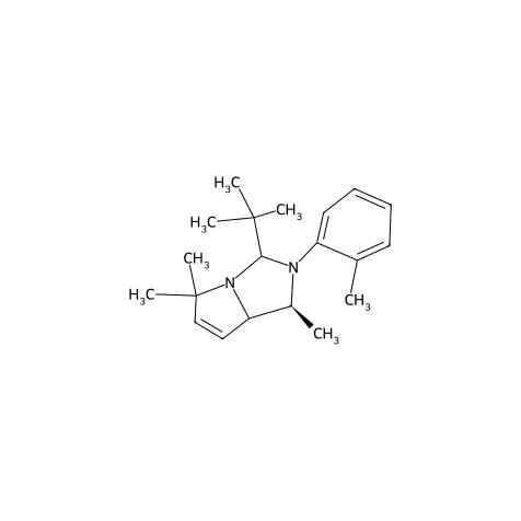 Cc1ccccc1N1C(C(C)(C)C)N2C(C=CC2(C)C)[C@@H]1C